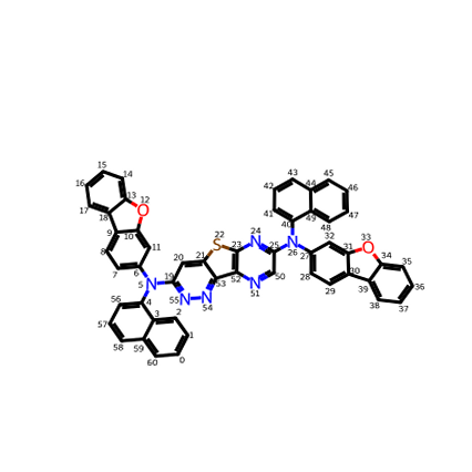 c1ccc2c(N(c3ccc4c(c3)oc3ccccc34)c3cc4sc5nc(N(c6ccc7c(c6)oc6ccccc67)c6cccc7ccccc67)cnc5c4nn3)cccc2c1